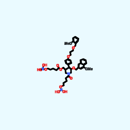 COc1ccccc1COCCCOc1ccc(C2C(COC(=O)CCCCON(O)O)CN(C(=O)CCCCON(O)O)CC2OCc2cc(OC)c3ccccc3c2)cc1